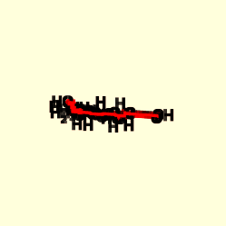 CN[C@@H](CCCCNC(=O)COCCOCCNC(=O)COCCOCCNC(=O)CC[C@@H](NC[C@H]1CC[C@@H](CNOCCCCCCCCCCCCCCCCCCC(=O)O)CC1)C(=O)O)C(=O)CN[C@@H](CC(N)=O)C(=O)CN[C@H](Cc1ccc(O)cc1)C(N)=O